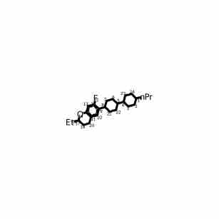 CCCC1CCC(C2CCC(c3cc4c(cc3F)OC(CC)CC4)CC2)CC1